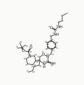 CCCCNC(=O)NCc1ccc(CN2OCC(CCCC)(C3CCCN(C(=O)OC(C)(C)C)C3)NC2=N)cc1